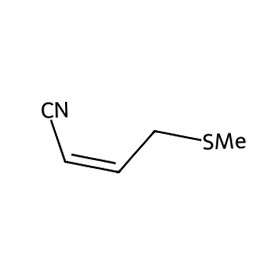 CSC/C=C\C#N